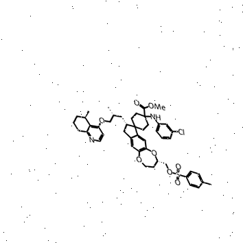 COC(=O)C1(Nc2cccc(Cl)c2)CCC2(CC1)c1cc3c(cc1C[C@@H]2C[C@@H](C)COc1ccnc2c1[C@H](C)CCC2)OCC[C@@H](COS(=O)(=O)c1ccc(C)cc1)O3